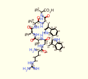 CC(C)[C@H](NC(=O)[C@H](Cc1c[nH]c2ccccc12)NC(=O)[C@@H](NC(=O)[C@@H](NC(=O)[C@@H](NC(=O)[C@H](Cc1c[nH]c2ccccc12)NC(=O)[C@@H](N)CCCNC(=N)N)C(C)C)C(C)C)C(C)C)C(=O)O